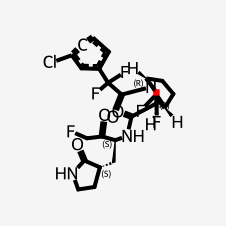 O=C1NCC[C@H]1C[C@H](NC(=O)[C@@H]1[C@H]2CC[C@H](CC2(F)F)N1C(=O)C(F)(F)c1cccc(Cl)c1)C(=O)CF